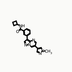 Cn1cc(-c2cnc3c(-c4cccc(C(=O)NC5CCC5)c4)cnn3c2)cn1